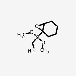 CC[Si](OC)(OC)C12CCCCC1O2